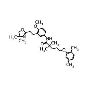 COc1ccc(NC(=O)C(C)(C)CCCOc2cc(C)ccc2C)cc1CCC1=NC(C)(C)CO1